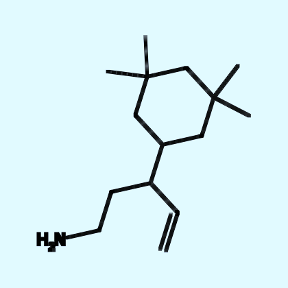 C=CC(CCN)C1CC(C)(C)CC(C)(C)C1